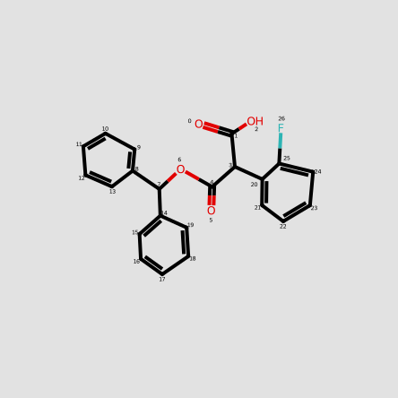 O=C(O)C(C(=O)OC(c1ccccc1)c1ccccc1)c1ccccc1F